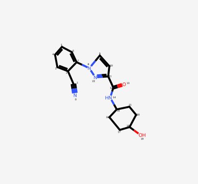 N#Cc1ccccc1-n1ccc(C(=O)NC2CCC(O)CC2)n1